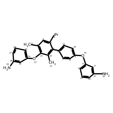 Cc1cc(C(C)C)c(-c2ccc(Oc3cccc(N)c3)cc2)c(C)c1Oc1cccc(N)c1